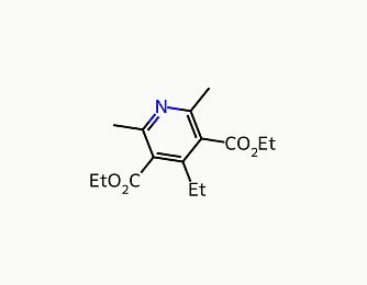 CCOC(=O)c1c(C)nc(C)c(C(=O)OCC)c1CC